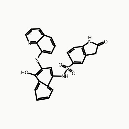 O=C1Cc2cc(S(=O)(=O)Nc3cc(Sc4cccc5cccnc45)c(O)c4ccccc34)ccc2N1